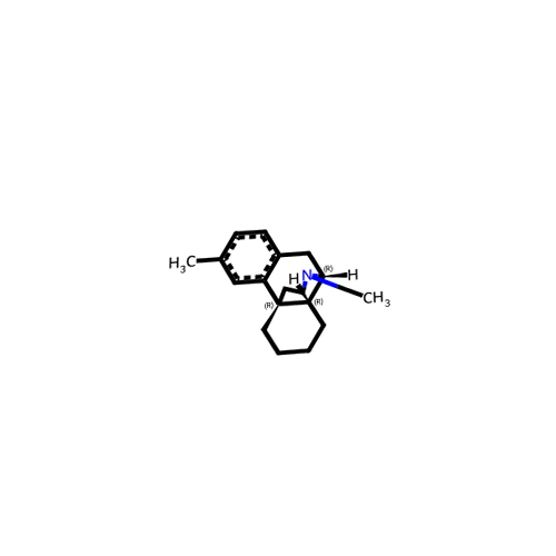 Cc1ccc2c(c1)[C@@]13CCCC[C@H]1[C@@H](C2)N(C)CC3